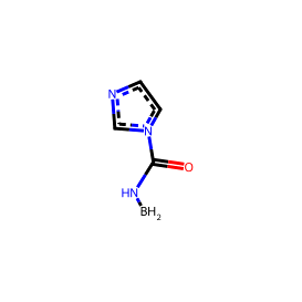 BNC(=O)n1ccnc1